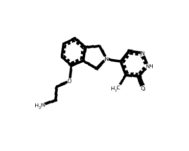 Cc1c(N2Cc3cccc(OCCN)c3C2)cn[nH]c1=O